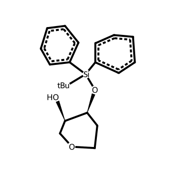 CC(C)(C)[Si](O[C@H]1CCOC[C@H]1O)(c1ccccc1)c1ccccc1